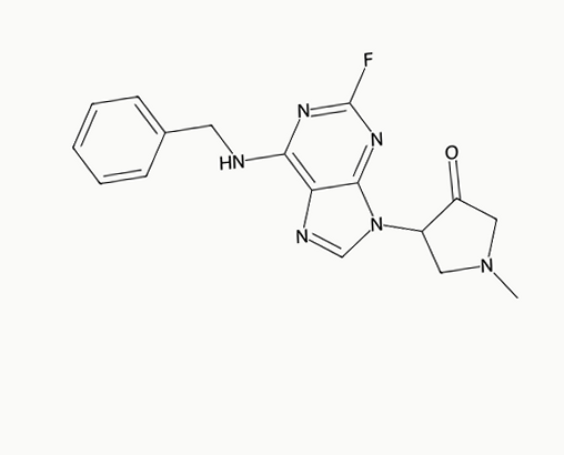 CN1CC(=O)C(n2cnc3c(NCc4ccccc4)nc(F)nc32)C1